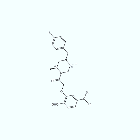 CCN(CC)c1ccc(C=O)c(OCC(=O)N2C[C@@H](C)N(Cc3ccc(F)cc3)C[C@@H]2C)c1